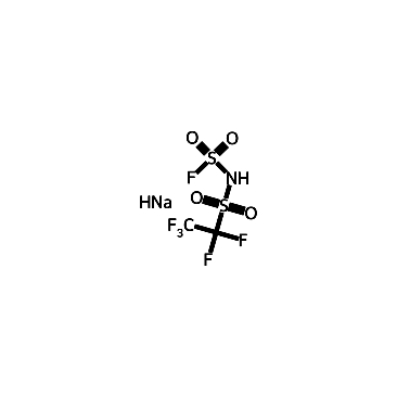 O=S(=O)(F)NS(=O)(=O)C(F)(F)C(F)(F)F.[NaH]